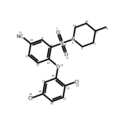 CC1CCN(S(=O)(=O)c2cc(C#N)ccc2Oc2cc(Cl)ccc2Cl)CC1